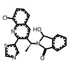 C[C@@H](c1cc2cccc(Cl)c2nc1-c1cncs1)N1C(=O)c2ccccc2C1O